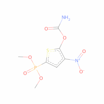 COP(=O)(OC)c1cc([N+](=O)[O-])c(OC(N)=O)s1